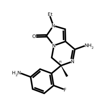 CCn1cc2n(c1=O)C[C@@](C)(c1cc(N)ccc1F)N=C2N